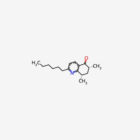 CCCCCCc1ccc2c(n1)[C@@H](C)C[C@@H](C)C2=O